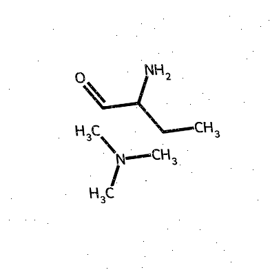 CCC(N)C=O.CN(C)C